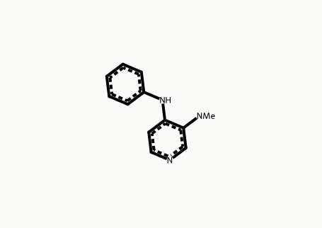 CNc1cnccc1Nc1ccccc1